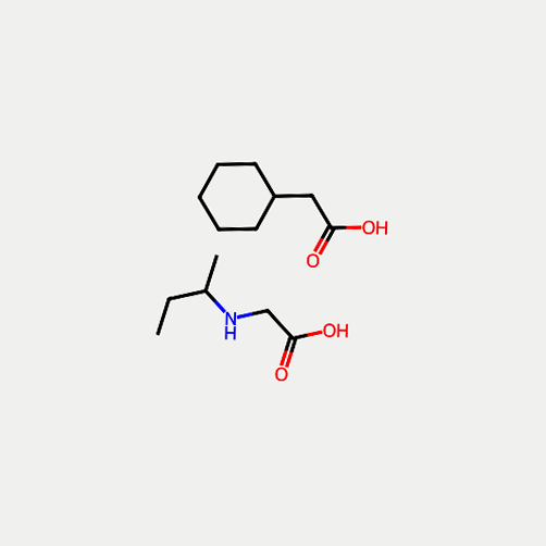 CCC(C)NCC(=O)O.O=C(O)CC1CCCCC1